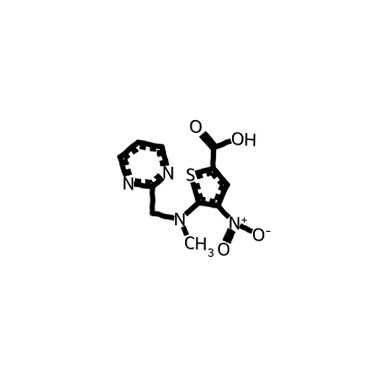 CN(Cc1ncccn1)c1sc(C(=O)O)cc1[N+](=O)[O-]